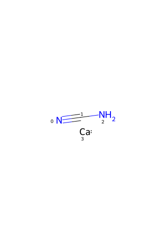 N#CN.[Ca]